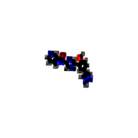 COc1ccc(-c2cnn(C)c2)cc1-c1cnc(NC(=O)c2cnccc2C)cn1